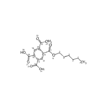 CCCCCCOC(=O)c1cc(C(=O)O)c(C(=O)O)cc1C(=O)O